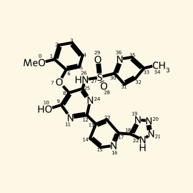 COc1ccccc1Oc1c(O)nc(-c2ccnc(-c3nnn[nH]3)c2)nc1NS(=O)(=O)c1ccc(C)cn1